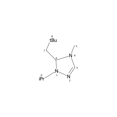 CC(C)N1N=CN(C)C1CC(C)(C)C